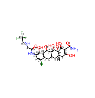 NC(=O)C1=C(O)C[C@@H]2CC3Cc4c(F)cc(NC(=O)CNCC(F)(F)F)c(O)c4C(=O)C3=C(O)[C@]2(O)C1=O